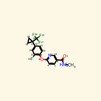 CNC(=O)c1ccc(Oc2ccc(C3(C(F)(F)F)CC3)cc2F)nc1